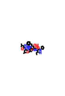 CC[C@H](C)[C@H](NC(=O)CC(O)C(Cc1ccccc1)NC(=O)C(NC(=O)C(CC(C)C)NC(=O)CC(C)C)C(C)C)C(=O)NC1CCCC1